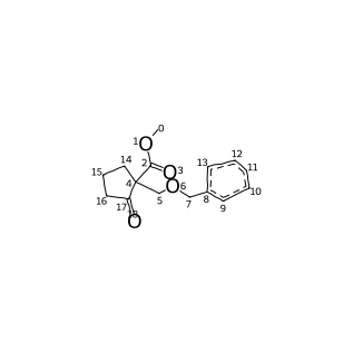 COC(=O)C1(COCc2ccccc2)CCCC1=O